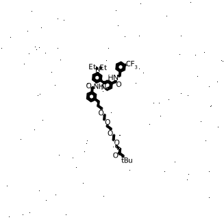 CCN(CC)c1ccc(NC(=O)c2cccc(CCCOCCOCCOCCOCCC(=O)CC(C)(C)C)c2)c(-c2cc(C(=O)NCc3cccc(C(F)(F)F)c3)ccn2)c1